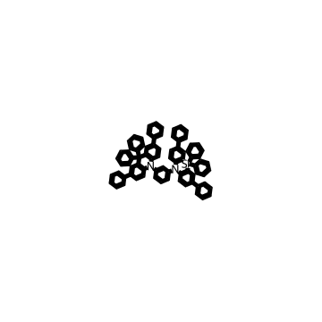 c1ccc(-c2ccc3c(c2)C(c2ccccc2)(c2ccccc2)c2cc(-c4ccccc4)ccc2N3c2cccc(N3c4ccc(-c5ccccc5)cc4[Si](c4ccccc4)(c4ccccc4)c4cc(-c5ccccc5)ccc43)c2)cc1